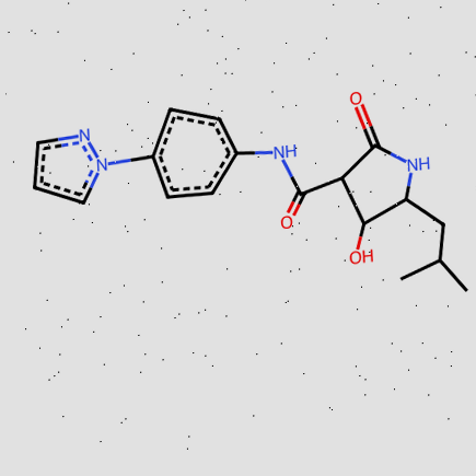 CC(C)CC1NC(=O)C(C(=O)Nc2ccc(-n3cccn3)cc2)C1O